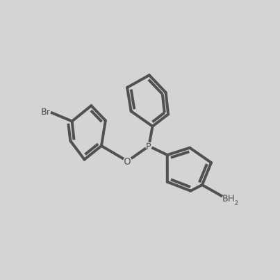 Bc1ccc(P(Oc2ccc(Br)cc2)C2=C=C=CC=C2)cc1